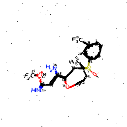 CC1([S+]([O-])c2cccc(C(F)(F)F)c2)CCOC(/C(N)=C/C(=N)OC(F)(F)F)C1